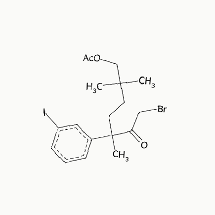 CC(=O)OCC(C)(C)CCC(C)(C(=O)CBr)c1cccc(I)c1